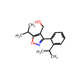 CC(C)c1ccccc1-c1noc(C(C)C)c1CO